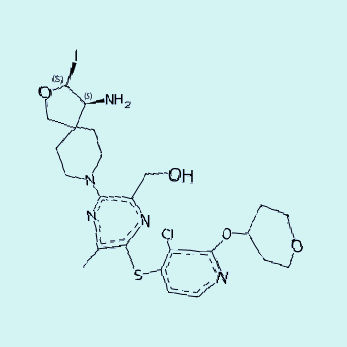 Cc1nc(N2CCC3(CC2)CO[C@@H](I)[C@H]3N)c(CO)nc1Sc1ccnc(OC2CCOCC2)c1Cl